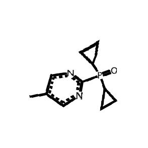 Cc1cnc(P(=O)(C2CC2)C2CC2)nc1